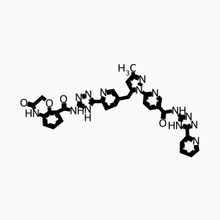 Cc1cc(Cc2ccc(-c3nnc(NC(=O)c4cccc5c4OCC(=O)N5)[nH]3)nc2)n(-c2ccc(C(=O)Nc3nnc(-c4ccccn4)[nH]3)cn2)n1